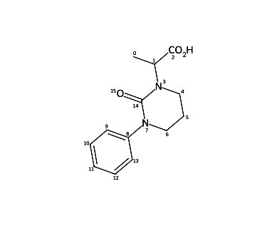 CC(C(=O)O)N1CCCN(c2ccccc2)C1=O